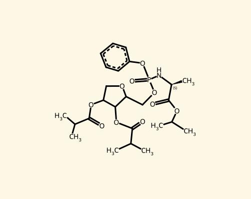 CC(C)OC(=O)[C@H](C)NP(=O)(OCC1OCC(OC(=O)C(C)C)C1OC(=O)C(C)C)Oc1ccccc1